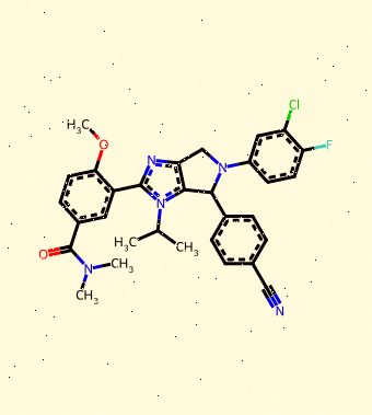 COc1ccc(C(=O)N(C)C)cc1-c1nc2c(n1C(C)C)C(c1ccc(C#N)cc1)N(c1ccc(F)c(Cl)c1)C2